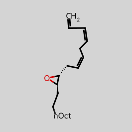 C=C/C=C\C/C=C\C[C@H]1O[C@@H]1CCCCCCCCCC